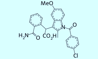 COc1ccc2c(c1)c(C(C(=O)O)c1ccccc1C(N)=O)c(C)n2C(=O)c1ccc(Cl)cc1